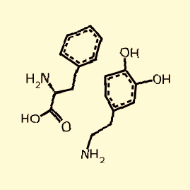 NCCc1ccc(O)c(O)c1.N[C@@H](Cc1ccccc1)C(=O)O